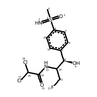 CS(=N)(=O)c1ccc([C@@H](O)C(CF)NC(=O)C(Cl)Cl)cc1